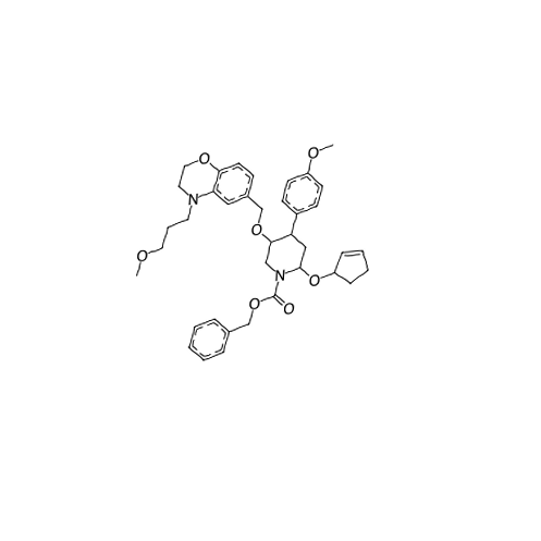 COCCCN1CCOc2ccc(COC3CN(C(=O)OCc4ccccc4)C(OC4C=CCC4)CC3c3ccc(OC)cc3)cc21